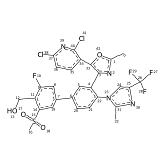 Cc1nc(-c2cc(-c3cc(F)c(CO)c(S(C)(=O)=O)c3)ccc2-n2cc(C(F)(F)F)nc2C)c(-c2ccc(Cl)nc2Cl)o1